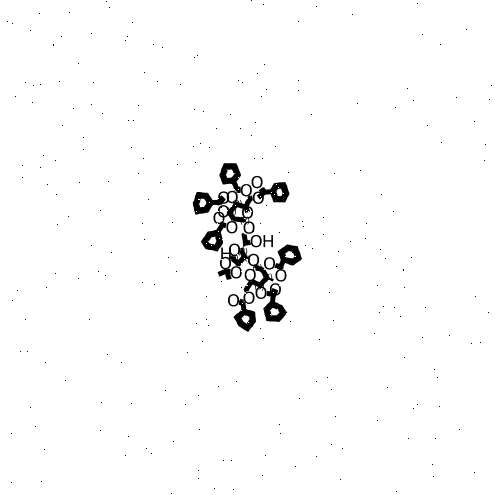 C[C@@H]1C(OC(=O)c2ccccc2)[C@H](O[C@H]2C3OC(C)(C)O[C@H]3O[C@@H]2C(O)CO[C@@H]2OC(COC(=O)c3ccccc3)[C@@H](OC(=O)c3ccccc3)[C@H](OC(=O)c3ccccc3)C2OC(=O)c2ccccc2)OC(COC(=O)c2ccccc2)[C@H]1OC(=O)c1ccccc1